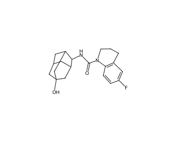 O=C(NC1C2CC3CC1CC(O)(C3)C2)N1CCCc2cc(F)ccc21